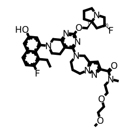 CCc1c(F)ccc2cc(O)cc(N3CCc4c(nc(OC[C@@]56CCCN5C[C@H](F)C6)nc4N4CCCn5nc(C(=O)N(C)CCOCCOC)cc5C4)C3)c12